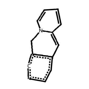 C1=CC2=Cc3ccccc3CN2C=C1